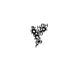 CCOC(=O)N1CCC2(CC1)C[C@H](NC(=O)c1cccc(O)n1)c1cc(Br)ccc1O2